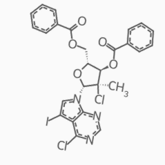 C[C@@]1(Cl)[C@H](OC(=O)c2ccccc2)[C@@H](COC(=O)c2ccccc2)O[C@H]1n1cc(I)c2c(Cl)ncnc21